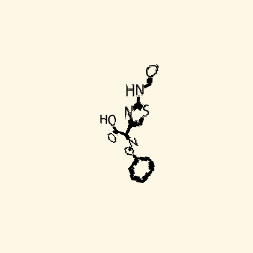 O=CNc1nc(/C(=N/Oc2ccccc2)C(=O)O)cs1